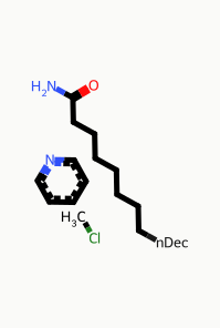 CCCCCCCCCCCCCCCCCC(N)=O.CCl.c1ccncc1